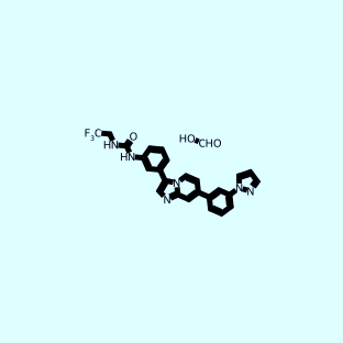 O=C(NCC(F)(F)F)Nc1cccc(-c2cnc3cc(-c4cccc(-n5cccn5)c4)ccn23)c1.O=CO